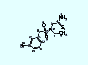 CCN(CC(N)=S)S(=O)(=O)Cc1cccc(Br)c1